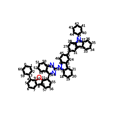 c1ccc(-c2cccc3c2oc2c(-c4nc(-n5c6ccccc6c6cc(-c7ccc8c(c7)c7ccccc7n8-c7ccccc7)ccc65)nc5ccccc45)cccc23)cc1